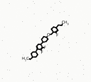 CCCC1C=C(F)C(COC2CCC(C3CC=C(C4CCC(CC)CC4)C(F)=C3F)CC2)CC1